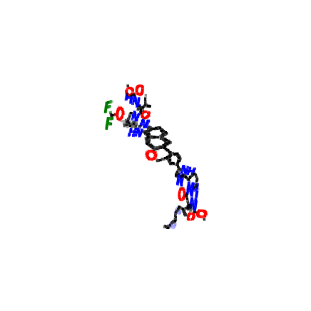 C=C(/C=C\C=C/C)[C@@H](NC(=O)OC)C(=O)N1CCCC1c1ncc(-c2ccc3c(c2)COc2cc4c(ccc5nc([C@@H]6C[C@H](COC(F)F)CN6C(=O)[C@@H](NC(=O)OC)C(C)C)[nH]c54)cc2-3)[nH]1